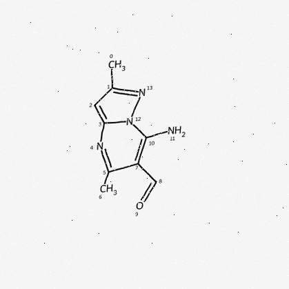 Cc1cc2nc(C)c(C=O)c(N)n2n1